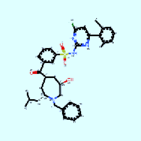 Cc1cccc(C)c1-c1cc(Cl)nc(NS(=O)(=O)c2cccc(C(=O)C3C[C@@H](O)CN(Cc4ccccc4)[C@H](CC(C)C)C3)c2)n1